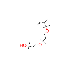 C=CC(C)C(C)(C)OCCC(C)(C)OCCC(C)(C)O